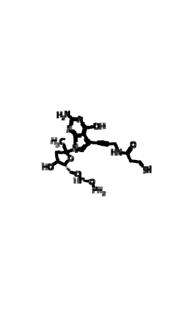 CC1(n2cc(C#CCNC(=O)CCS)c3c(O)nc(N)nc32)CC(O)[C@@H](COPOP)O1